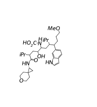 COCCCC(c1ccc2cc[nH]c2c1)C(CC(NC(=O)O)C(O)CC(C(=O)N[C@@H]1CC12CCOCC2)C(C)C)C(C)C